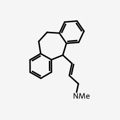 CNC/C=C/C1c2ccccc2CCc2ccccc21